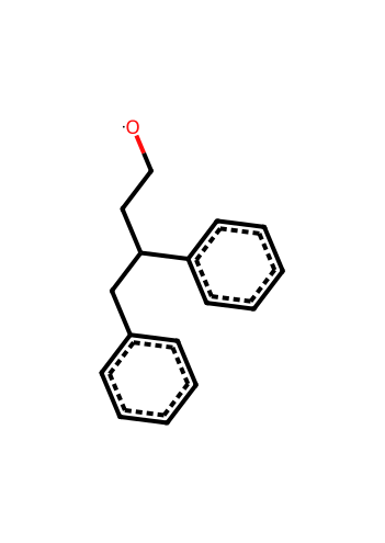 [O]CCC(Cc1ccccc1)c1ccccc1